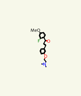 COc1ccc(C(=O)C=Cc2cccc(OCCN(C)C)c2)c(F)c1